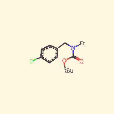 CCN(Cc1ccc(Cl)cc1)C(=O)OC(C)(C)C